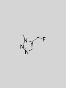 Cn1nncc1CF